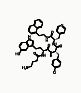 NCCCC(=O)N[C@@H](CCc1c[nH]c2ccc(O)cc12)C(=O)N[C@@H](Cc1ccc(Cl)cc1)C(=O)N[C@@H](Cc1ccncc1)C(=O)NCCc1cccc2ccccc12